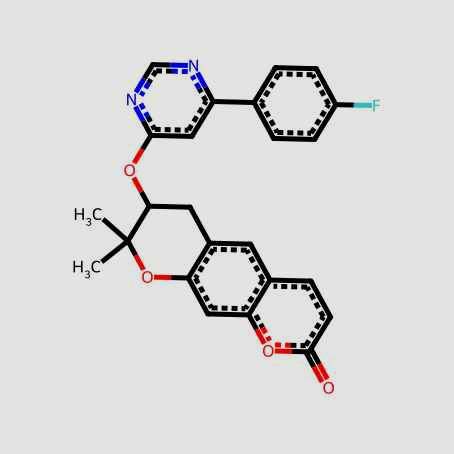 CC1(C)Oc2cc3oc(=O)ccc3cc2CC1Oc1cc(-c2ccc(F)cc2)ncn1